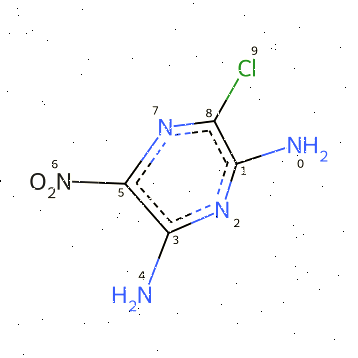 Nc1nc(N)c([N+](=O)[O-])nc1Cl